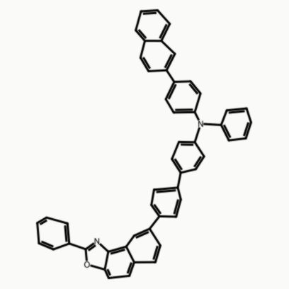 c1ccc(-c2nc3c(ccc4ccc(-c5ccc(-c6ccc(N(c7ccccc7)c7ccc(-c8ccc9ccccc9c8)cc7)cc6)cc5)cc43)o2)cc1